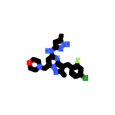 Cc1cc(Nc2cc(CN3CCOCC3)n3nc(C)c(Cc4ccc(Cl)cc4F)c3n2)n[nH]1